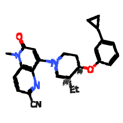 CC[C@@H]1CN(c2cc(=O)n(C)c3ccc(C#N)nc23)CC[C@H]1Oc1cccc(C2CC2)c1